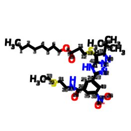 CCCCCCCCOC(=O)CCSc1c(C(C)(C)C)nn2nc(-c3cc(C(=O)NCCSCC)cc([N+](=O)[O-])c3)[nH]c12